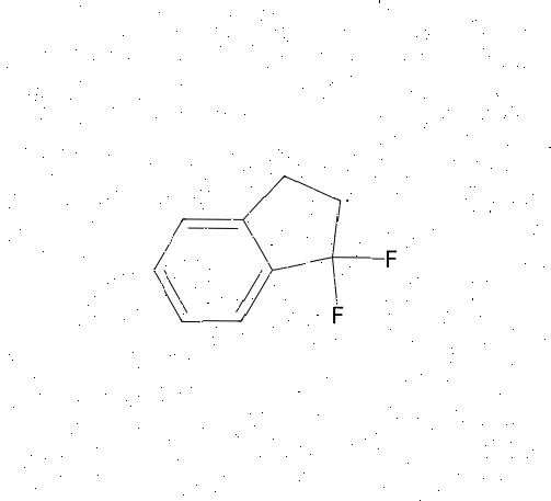 FC1(F)[CH]Cc2ccccc21